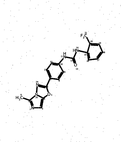 Cc1ncc2oc(-c3ccc(NC(=O)Nc4ccccc4C(F)(F)F)cc3)nn12